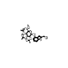 COC(=O)[C@H]1O[C@@H](Oc2cccc3sc(CCl)cc23)[C@H](OC(C)=O)[C@@H](OC(C)=O)[C@@H]1OC(C)=O